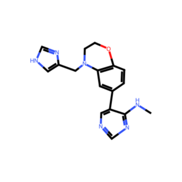 CNc1ncncc1-c1ccc2c(c1)N(Cc1c[nH]cn1)CCO2